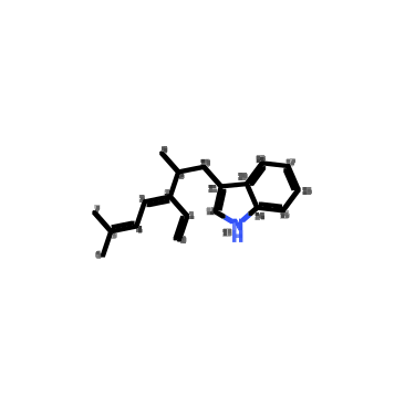 C=C/C(=C\C=C(C)C)C(C)Cc1c[nH]c2ccccc12